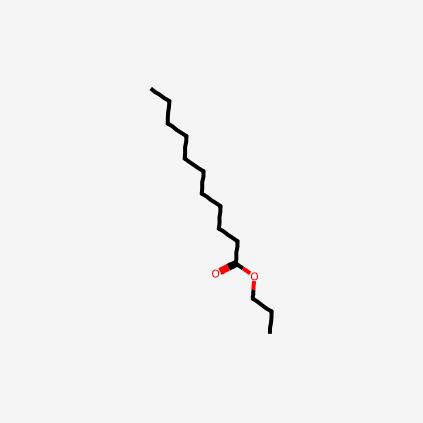 CCCCCCCCCCC(=O)OCCC